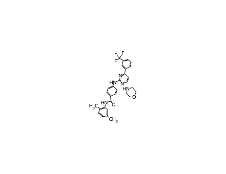 C1COCCN1.Cc1ccc(C)c(NC(=O)c2ccc(Nc3nccc(-c4cccc(C(F)(F)F)c4)n3)cc2)c1